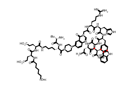 CCCCCCCCCCCCCCCC(=O)N[C@@H](CCC(=O)O)C(=O)N[C@@H](CCC(=O)O)C(=O)NCCCC[C@H](NC(=O)[C@@H](N)[C@@H](C)CC)C(=O)N1CCN(c2ccc3ncn(CC(=O)N[C@@H](CCCNC(=N)N)C(=O)N[C@@H](Cc4c[nH]cn4)C(=O)N[C@@H](Cc4ccc(O)cc4)C(=O)N[C@@H](CC(C)C)C(=O)N[C@@H](CC(N)=O)C(=O)N[C@@H](Cc4c[nH]c5ccccc45)C(=O)NC)c(=O)c3c2)CC1